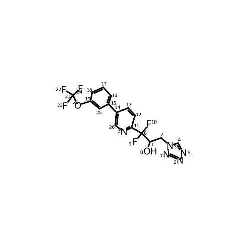 OC(Cn1cnnn1)C(F)(F)c1ccc(-c2cccc(OC(F)(F)F)c2)cn1